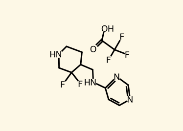 FC1(F)CNCCC1CNc1ccncn1.O=C(O)C(F)(F)F